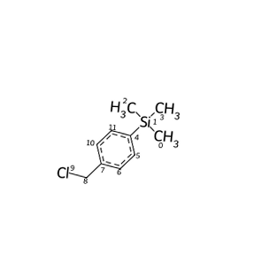 C[Si](C)(C)c1ccc(CCl)cc1